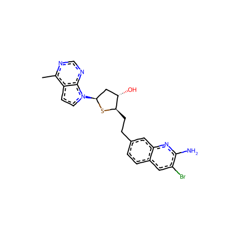 Cc1ncnc2c1ccn2[C@H]1C[C@H](O)[C@@H](CCc2ccc3cc(Br)c(N)nc3c2)S1